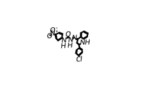 O=C(NN=C1CC(c2ccc(Cl)cc2)Nc2ccccc21)Nc1ccc([N+](=O)[O-])cc1